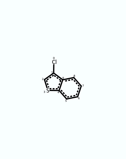 Clc1csc2ccccc12